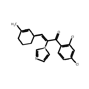 CC1=CC(C=C(C(=O)c2ccc(Cl)cc2Cl)n2ccnc2)CCC1